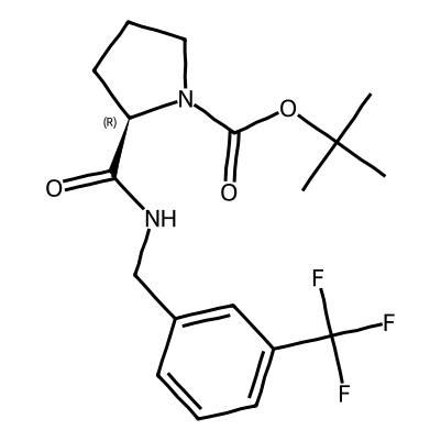 CC(C)(C)OC(=O)N1CCC[C@@H]1C(=O)NCc1cccc(C(F)(F)F)c1